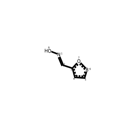 ON=Cc1ccbo1